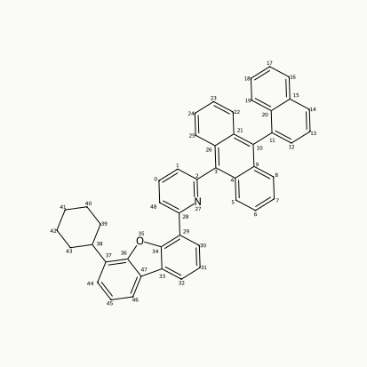 c1cc(-c2c3ccccc3c(-c3cccc4ccccc34)c3ccccc23)nc(-c2cccc3c2oc2c(C4CCCCC4)cccc23)c1